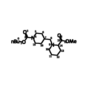 CCCCOC(=O)N1CCC(CN2CCCCC2C(=O)OC)CC1